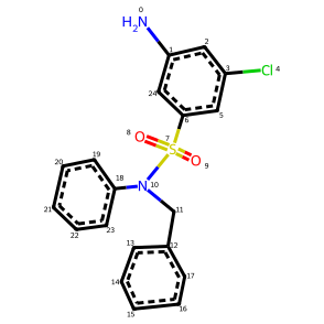 Nc1cc(Cl)cc(S(=O)(=O)N(Cc2ccccc2)c2ccccc2)c1